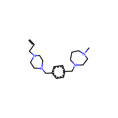 C=CCN1CCN(Cc2ccc(CN3CCCN(C)CC3)cc2)CC1